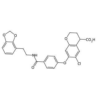 O=C(NCCc1cccc2c1OCO2)c1ccc(Oc2cc3c(cc2Cl)C(C(=O)O)CCO3)cc1